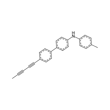 CC#CC#Cc1ccc(-c2ccc(Nc3ccc(C)cc3)cc2)cc1